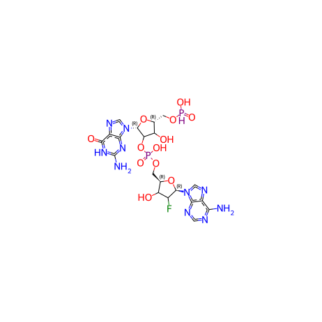 Nc1nc2c(ncn2[C@@H]2O[C@H](CO[PH](=O)O)C(O)C2OP(=O)(O)OC[C@H]2O[C@@H](n3cnc4c(N)ncnc43)C(F)C2O)c(=O)[nH]1